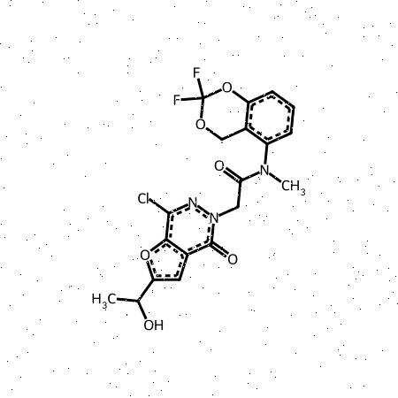 CC(O)c1cc2c(=O)n(CC(=O)N(C)c3cccc4c3[CH]OC(F)(F)O4)nc(Cl)c2o1